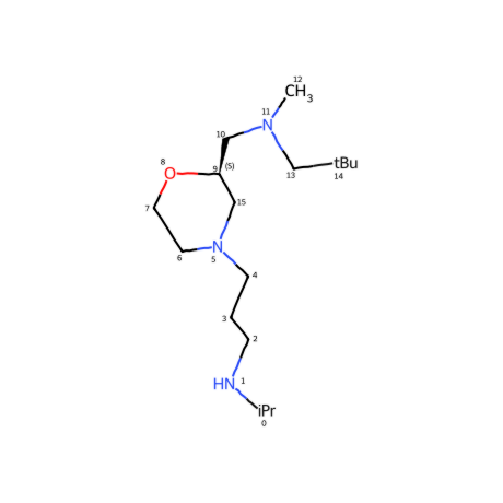 CC(C)NCCCN1CCO[C@@H](CN(C)CC(C)(C)C)C1